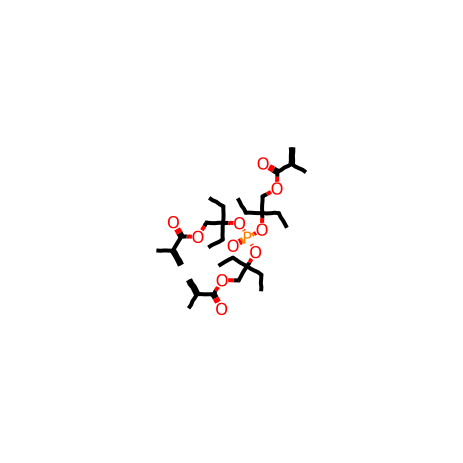 C=C(C)C(=O)OCC(CC)(CC)OP(=O)(OC(CC)(CC)COC(=O)C(=C)C)OC(CC)(CC)COC(=O)C(=C)C